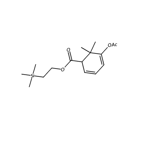 CC(=O)OC1=CC=CC(C(=O)OCC[Si](C)(C)C)C1(C)C